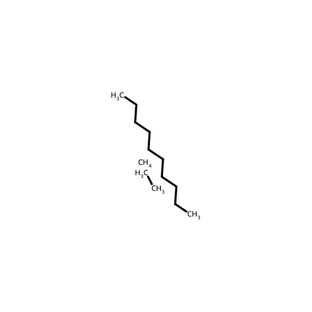 C.CC.CCCCCCCCCC